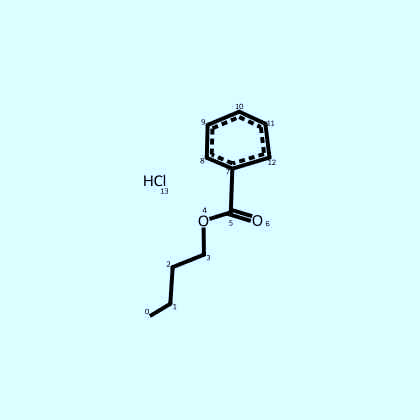 CCCCOC(=O)c1ccccc1.Cl